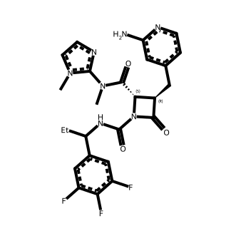 CCC(NC(=O)N1C(=O)[C@H](Cc2ccnc(N)c2)[C@H]1C(=O)N(C)c1nccn1C)c1cc(F)c(F)c(F)c1